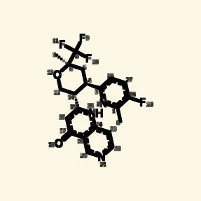 Cc1nc([C@@H]2C[C@](C)(C(F)(F)F)OC[C@H]2c2cc(=O)c3cnccc3[nH]2)ccc1F